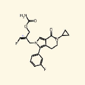 NC(=O)OC/C(=C/F)Cn1cc2c(c1-c1cccc(F)c1)CCN(C1CC1)C2=O